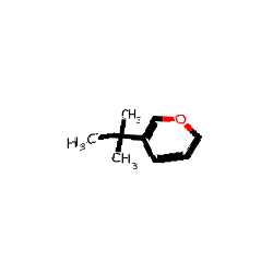 CC(C)(C)C1=COCC=C1